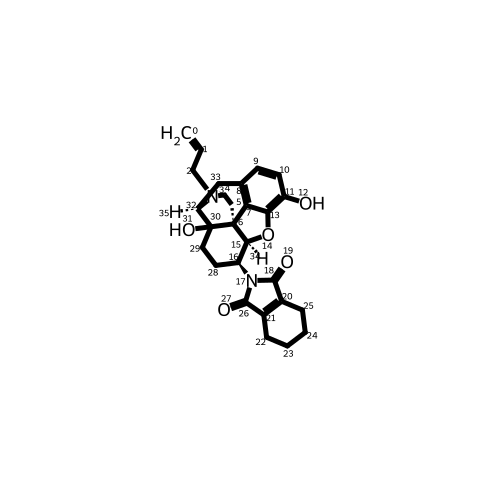 C=CCN1CC[C@]23c4c5ccc(O)c4O[C@H]2[C@@H](N2C(=O)C4=C(CCCC4)C2=O)CCC3(O)[C@H]1C5